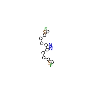 Fc1cccc2c1sc1cc(-c3cccc(-c4cccc(-c5ccc6c(c5)c5cc(-c7cccc(-c8cccc(-c9ccc%10c(c9)sc9c(F)cccc9%10)c8)c7)ccc5c5nccnc65)c4)c3)ccc12